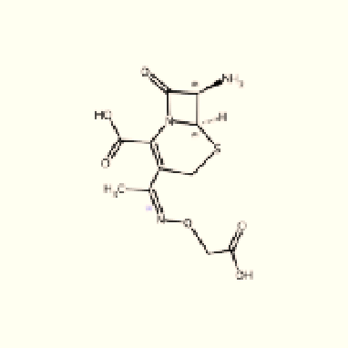 C/C(=N/OCC(=O)O)C1=C(C(=O)O)N2C(=O)[C@@H](N)[C@H]2SC1